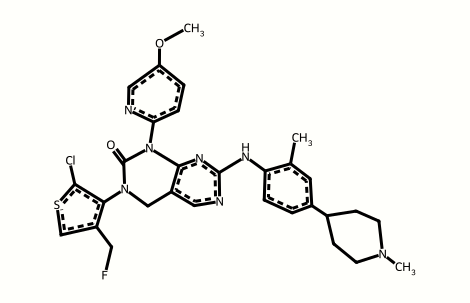 COc1ccc(N2C(=O)N(c3c(CF)csc3Cl)Cc3cnc(Nc4ccc(C5CCN(C)CC5)cc4C)nc32)nc1